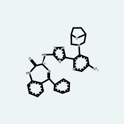 O=C1Nc2ccccc2C(c2ccccc2)=N[C@@H]1Nc1nnc(-c2ncc(C(F)(F)F)cc2N2CC3CCC(C2)O3)o1